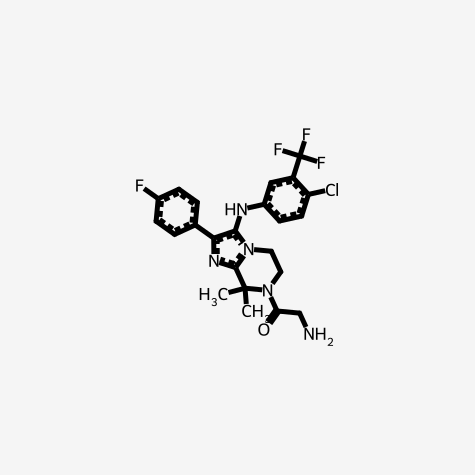 CC1(C)c2nc(-c3ccc(F)cc3)c(Nc3ccc(Cl)c(C(F)(F)F)c3)n2CCN1C(=O)CN